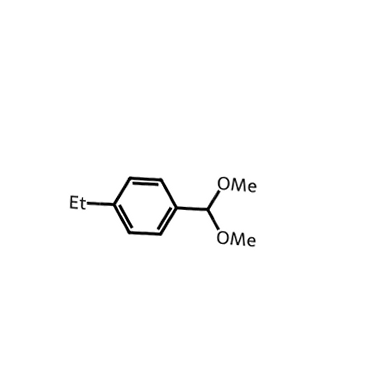 CCc1ccc(C(OC)OC)cc1